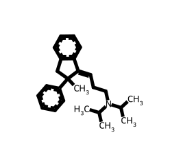 CC(C)N(CC/C=C1/c2ccccc2CC1(C)c1ccccc1)C(C)C